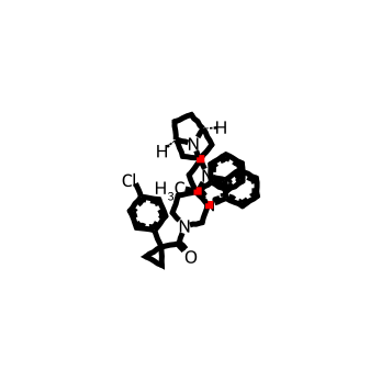 Cc1nc2ccccc2n1C1C[C@H]2CC[C@@H](C1)N2CCC1(c2ccccc2)CCN(C(=O)C2(c3ccc(Cl)cc3)CC2)CC1